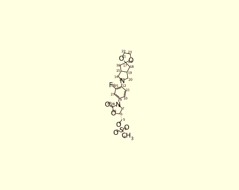 CS(=O)(=O)OC[C@H]1CN(c2ccc(N3CC4CC5(CC4C3)OCCO5)c(F)c2)C(=O)O1